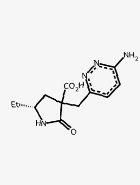 CC[C@@H]1CC(Cc2ccc(N)nn2)(C(=O)O)C(=O)N1